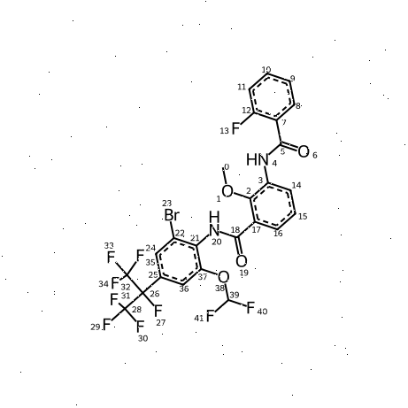 COc1c(NC(=O)c2ccccc2F)cccc1C(=O)Nc1c(Br)cc(C(F)(C(F)(F)F)C(F)(F)F)cc1OC(F)F